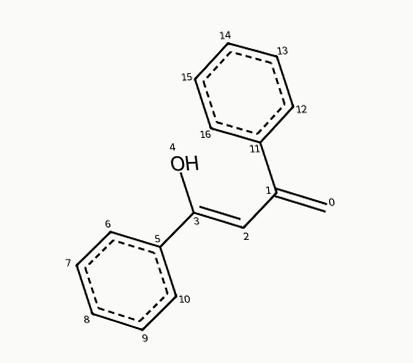 C=C(/C=C(\O)c1ccccc1)c1ccccc1